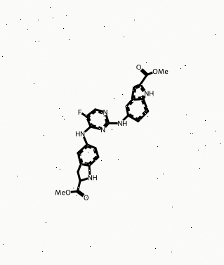 COC(=O)c1cc2cc(Nc3ncc(F)c(Nc4ccc5c(c4)CC(C(=O)OC)N5)n3)ccc2[nH]1